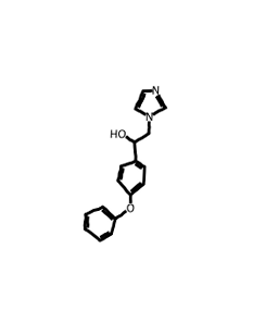 OC(Cn1ccnc1)c1ccc(Oc2ccccc2)cc1